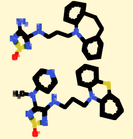 CN(c1ccncc1)c1n[s+]([O-])nc1NCCCN1c2ccccc2Sc2ccccc21.Nc1n[s+]([O-])nc1NCCCN1c2ccccc2CCc2ccccc21